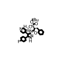 CN(C(=O)OC(C)(C)C)[C@@H](Cc1ccccc1)C(=O)Nc1n[nH]c(-c2ccc(F)cc2)c1-c1ccncc1